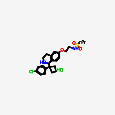 CCCS(=O)(=O)NCCOc1ccc2c(c1)CCNC2C1(c2ccc(Cl)cc2)CCC1.Cl